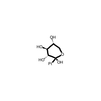 O[C@H]1[C@H](O)CO[C@](O)([Pt])[C@@H]1O